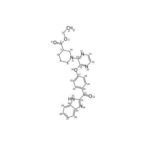 CCOC(=O)C1CCCN(c2nccnc2Oc2ccc(C(=O)c3nc4ccccc4[nH]3)cc2)C1